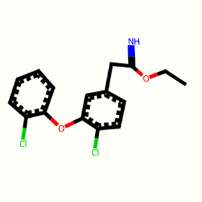 CCOC(=N)Cc1ccc(Cl)c(Oc2ccccc2Cl)c1